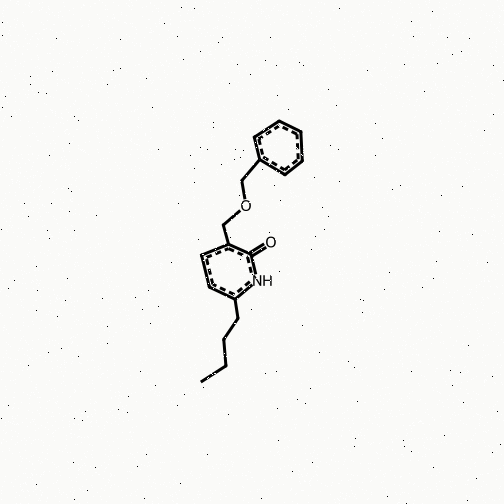 CCCCc1ccc(COCc2ccccc2)c(=O)[nH]1